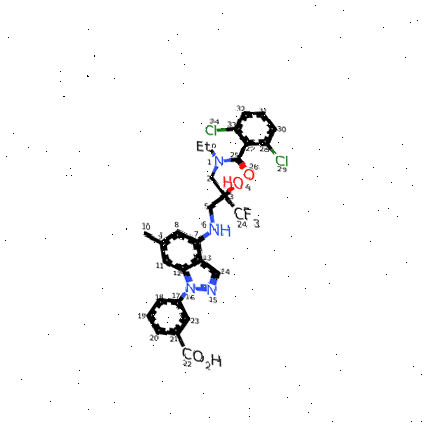 CCN(CC(O)(CNc1cc(C)cc2c1cnn2-c1cccc(C(=O)O)c1)C(F)(F)F)C(=O)c1c(Cl)cccc1Cl